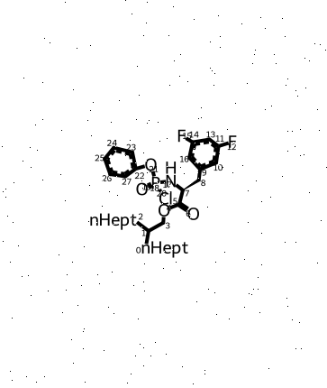 CCCCCCCC(CCCCCCC)COC(=O)[C@H](Cc1cc(F)cc(F)c1)NP(=O)(Cl)Oc1ccccc1